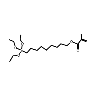 C=C(C)C(=O)OCCCCCCCCC[Si](OCC)(OCC)OCC